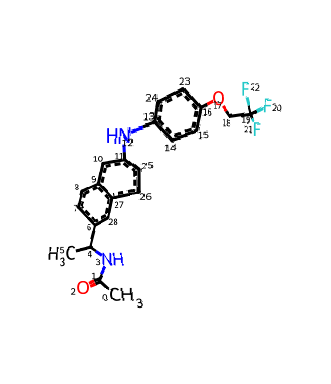 CC(=O)NC(C)c1ccc2cc(Nc3ccc(OCC(F)(F)F)cc3)ccc2c1